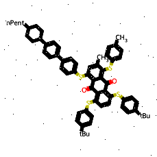 CCCCCC1CCC(c2ccc(-c3ccc(Sc4cc(C)c(Sc5ccc(C)cc5)c5c4C(=O)c4c(Sc6ccc(C(C)(C)C)cc6)ccc(Sc6ccc(C(C)(C)C)cc6)c4C5=O)cc3)cc2)CC1